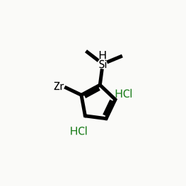 C[SiH](C)C1=[C]([Zr])CC=C1.Cl.Cl